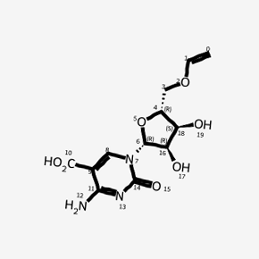 C=COC[C@H]1O[C@@H](n2cc(C(=O)O)c(N)nc2=O)[C@H](O)[C@@H]1O